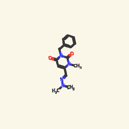 CN(C)/N=C/c1cc(=O)n(Cc2ccccc2)c(=O)n1C